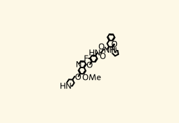 COc1cc2c(Oc3ccc(NC(=O)C(=O)NC(Cc4ccccc4)C(=O)N4CCCC4)cc3F)ccnc2cc1OCC1CCNCC1